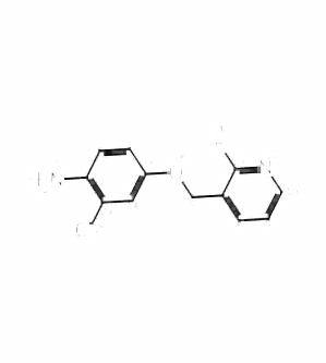 Nc1ccc(OCc2cccnc2F)cc1Cl